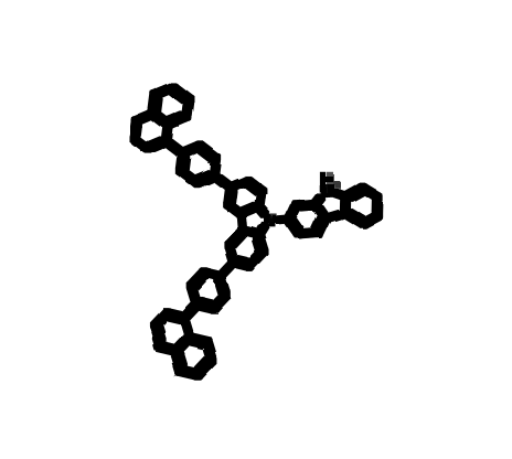 c1ccc2c(c1)[SiH2]c1cc(-n3c4ccc(-c5ccc(-c6cccc7ccccc67)cc5)cc4c4cc(-c5ccc(-c6cccc7ccccc67)cc5)ccc43)ccc1-2